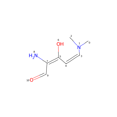 CN(C)/C=C\C(O)=C(\N)C=O